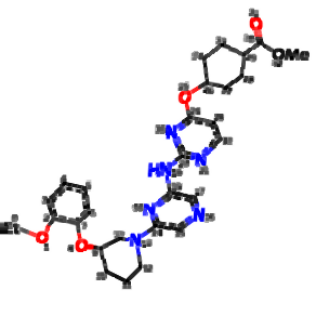 CCOc1ccccc1O[C@@H]1CCCN(c2cncc(Nc3nccc(OC4CCC(C(=O)OC)CC4)n3)n2)C1